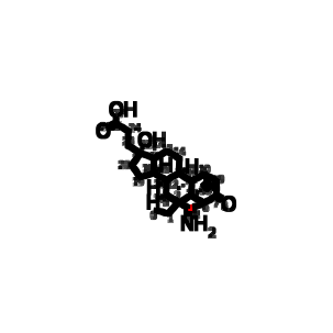 CC[C@H]1[C@H]2C(N)C3C(=O)CC[C@](C)([C@H]4CC[C@@]5(C)[C@@H](CC[C@@]5(O)CCC(=O)O)[C@H]24)[C@@]31C#N